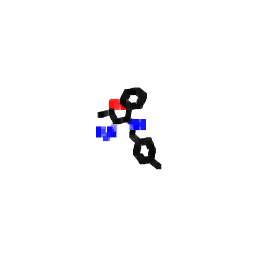 Cc1ccc(CNC(c2ccccc2)[C@H](N)[C@@H](C)O)cc1